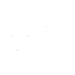 CCC1CN(Cc2ccnc(OC)n2)C1